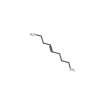 CCC/C=C/CCCC